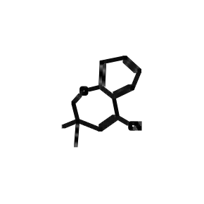 CC1(C)C=C(C#N)c2ccccc2OC1